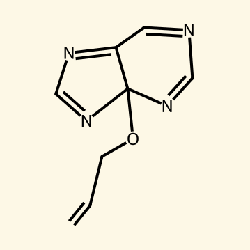 C=CCOC12N=CN=CC1=NC=N2